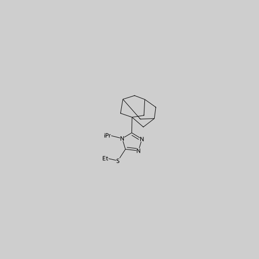 CCSc1nnc(C23CC4CC(CC(C4)C2)C3)n1C(C)C